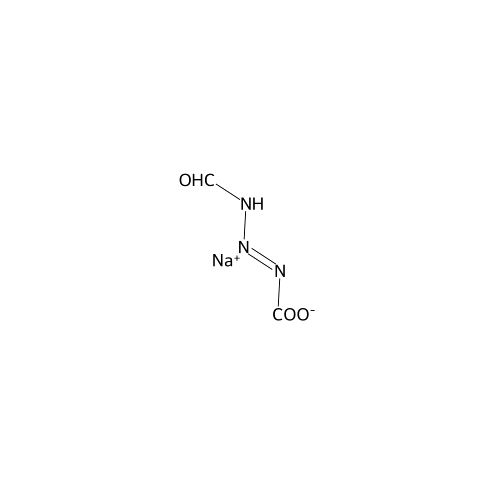 O=CNN=NC(=O)[O-].[Na+]